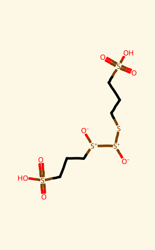 O=S(=O)(O)CCCS[S+]([O-])[S+]([O-])CCCS(=O)(=O)O